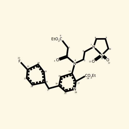 CCOC(=O)CC(=O)N(CCN1CCCS1(=O)=O)c1cc(Cc2ccc(F)cc2)cnc1C(=O)OCC